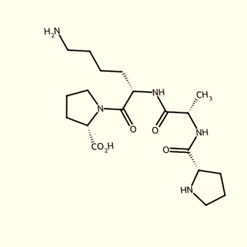 C[C@H](NC(=O)[C@@H]1CCCN1)C(=O)N[C@@H](CCCCN)C(=O)N1CCC[C@H]1C(=O)O